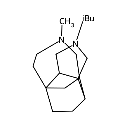 CCC(C)N1CC2C3CCC4(CCN(C)CC3C4)C2C1